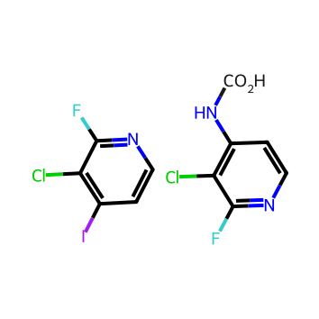 Fc1nccc(I)c1Cl.O=C(O)Nc1ccnc(F)c1Cl